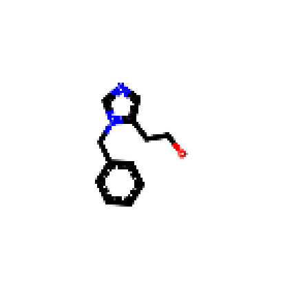 [O]CCc1cncn1Cc1ccccc1